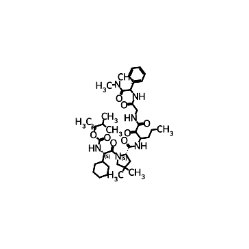 CCCC(NC(=O)[C@@H]1CC(C)(C)CN1C(=O)[C@@H](NC(=O)O[C@H](C)C(C)C)C1CCCCC1)C(=O)C(=O)NCC(=O)NC(C(=O)N(C)C)c1ccccc1